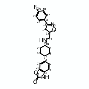 O=c1[nH]c2ccc([C@H]3CC[C@H](NCC4CC(c5ccc(F)cc5)=NO4)CC3)cc2o1